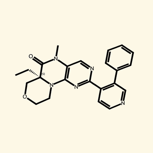 CC[C@@]12COCCN1c1nc(-c3ccncc3-c3ccccc3)ncc1N(C)C2=O